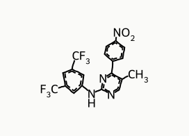 Cc1cnc(Nc2cc(C(F)(F)F)cc(C(F)(F)F)c2)nc1-c1ccc([N+](=O)[O-])cc1